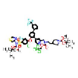 CC(C)(C)OC(=O)N1CCC(CCN(Cc2cc(-c3cc(-c4cccc(C(F)(F)F)c4)ccc3Oc3cc(F)c(S(=O)(=O)N(C(=O)OC(C)(C)C)c4cscn4)cc3Cl)ccn2)C(=O)OCC(Cl)(Cl)Cl)CC1